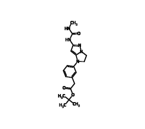 CNC(=O)Nc1cc2n(n1)CCN2c1cccc(CC(=O)OC(C)(C)C)c1